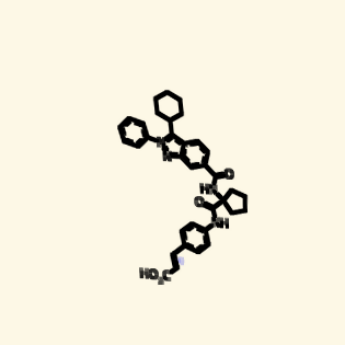 O=C(O)/C=C/c1ccc(NC(=O)C2(NC(=O)c3ccc4c(C5CCCCC5)n(-c5ccccc5)nc4c3)CCCC2)cc1